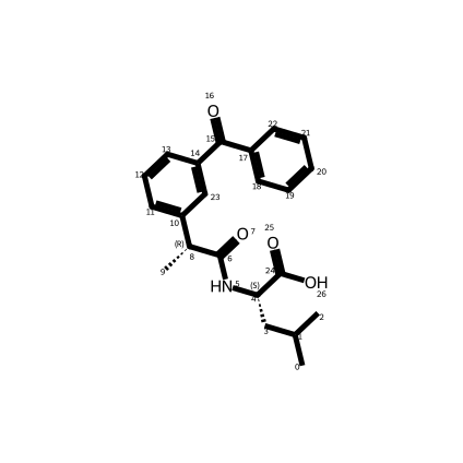 CC(C)C[C@H](NC(=O)[C@H](C)c1cccc(C(=O)c2ccccc2)c1)C(=O)O